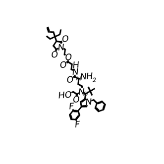 C=CCC(CC)(CC)C1CC(=O)N(CCOC(=O)CCNC(=O)[C@@H](N)CCN(C(=O)CO)[C@@H](c2cc(-c3cc(F)ccc3F)cn2Cc2ccccc2)C(C)(C)C)C1=O